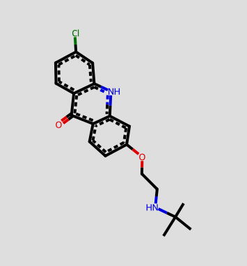 CC(C)(C)NCCOc1ccc2c(=O)c3ccc(Cl)cc3[nH]c2c1